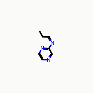 CC/C=N\c1cnccn1